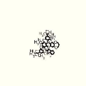 Cc1cc2c3c(c1)N(c1c(C)cc(C(C)(C)C)cc1C)c1sc4ccccc4c1B3c1cc3c(cc1N2c1c(C)cc(C(C)(C)C)cc1C)OCCCO3